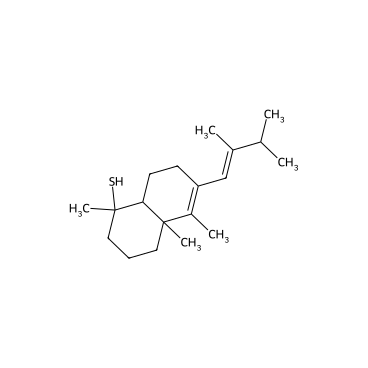 CC1=C(/C=C(\C)C(C)C)CCC2C(C)(S)CCCC12C